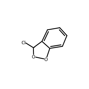 Cl[C]1OOc2ccccc21